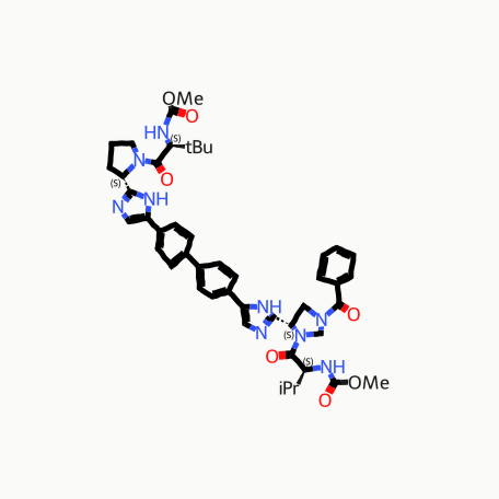 COC(=O)N[C@H](C(=O)N1CN(C(=O)c2ccccc2)C[C@H]1c1ncc(-c2ccc(-c3ccc(-c4cnc([C@@H]5CCCN5C(=O)[C@@H](NC(=O)OC)C(C)(C)C)[nH]4)cc3)cc2)[nH]1)C(C)C